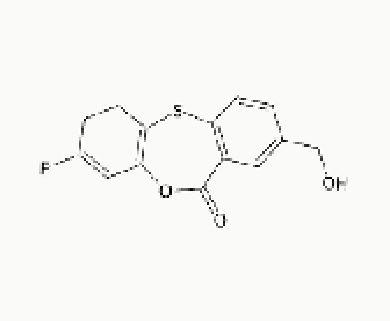 O=C1OC2=C(CCC(F)=C2)Sc2ccc(CO)cc21